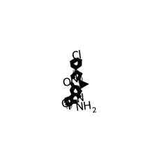 C[C@H]1OCc2c1c(N)nc1ccc(C(=O)N3C[C@@H](c4ccc(Cl)cc4)C[C@H]3C3CC3)cc21